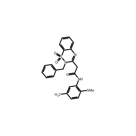 CSc1ccc(C)cc1NC(=O)CC1=Nc2ccccc2S(=O)(=O)N1Cc1ccccc1